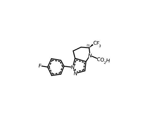 O=C(O)N1c2cnn(-c3ccc(F)cc3)c2CC[C@H]1C(F)(F)F